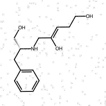 OCC/C=C(\O)CN[C@@H](CO)Cc1ccccc1